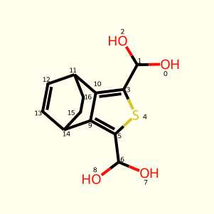 OC(O)c1sc(C(O)O)c2c1C1C=CC2CC1